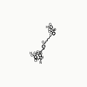 COc1cc(Nc2c(C#N)cnc3cc(OCCCN4CCN(C(=O)CCCCCCCOc5cccc6c5C(=O)N(C5CCC(=O)NC5=O)C6=O)CC4)c(OC)cc23)c(Cl)cc1Cl